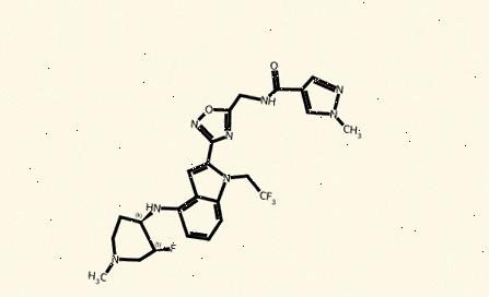 CN1CC[C@@H](Nc2cccc3c2cc(-c2noc(CNC(=O)c4cnn(C)c4)n2)n3CC(F)(F)F)[C@@H](F)C1